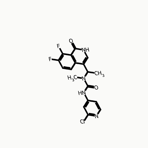 CC(c1c[nH]c(=O)c2c(F)c(F)ccc12)N(C)C(=O)Nc1ccnc(Cl)c1